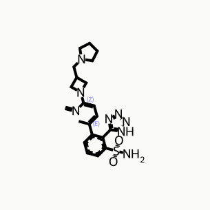 C=N/C(=C\C=C(/C)c1cccc(S(N)(=O)=O)c1-c1nnn[nH]1)N1CC(CN2CCCC2)C1